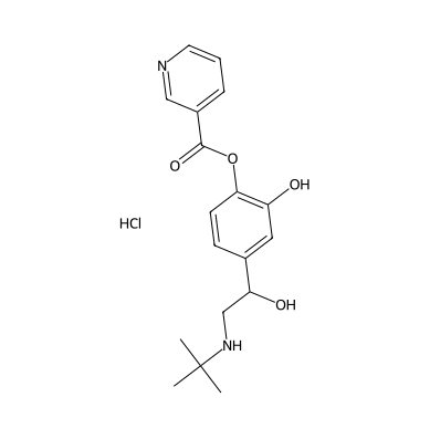 CC(C)(C)NCC(O)c1ccc(OC(=O)c2cccnc2)c(O)c1.Cl